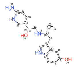 C[C@H](Cc1c[nH]c2ccc(O)cc12)NC[C@H](O)c1ccc(N)nc1